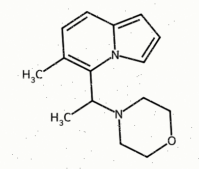 Cc1ccc2cccn2c1C(C)N1CCOCC1